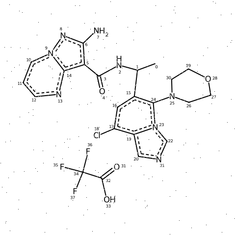 CC(NC(=O)c1c(N)nn2cccnc12)c1cc(Cl)c2cncn2c1N1CCOCC1.O=C(O)C(F)(F)F